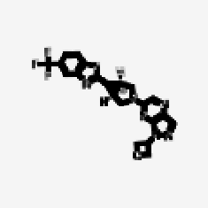 FC(F)(F)c1ccc2sc(C3[C@H]4CN(c5cnc6cnn(C7COC7)c6n5)C[C@@H]34)nc2c1